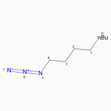 CCCCCCCCN=[N+]=[N-]